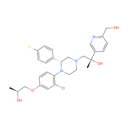 C[C@H](O)COc1ccc(N2CCN(C[C@@](C)(O)c3ccc(CO)nc3)C[C@H]2c2ccc(F)cc2)c(Cl)c1